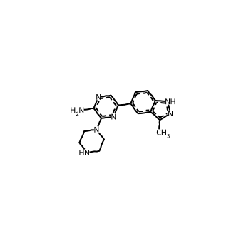 Cc1n[nH]c2ccc(-c3cnc(N)c(N4CCNCC4)n3)cc12